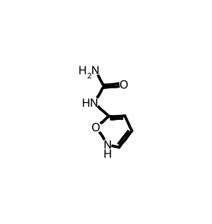 NC(=O)NC1=CC=CNO1